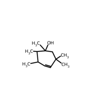 CC1C=CC(C)(C)CC(C)(O)C1C